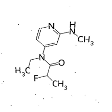 CCN(C(=O)C(C)F)c1ccnc(NC)c1